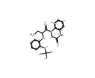 CCC(Oc1ccccc1OC(F)(F)F)C(=O)N1CC(=O)Nc2cccnc21